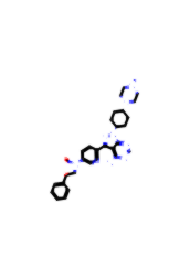 CN1CCN([C@H]2CC[C@H](n3nc(-c4ccc(N5CC(c6ccccc6)OC5=O)cc4)c4c(N)ncnc43)CC2)CC1